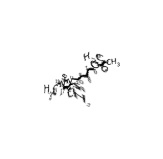 C=C(C)C(=O)OCCCCCCn1c(=S)c(C)cn(CC)c1=S